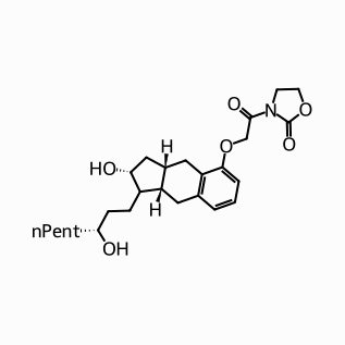 CCCCC[C@@H](O)CCC1[C@H](O)C[C@@H]2Cc3c(cccc3OCC(=O)N3CCOC3=O)C[C@H]12